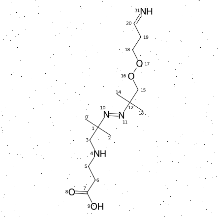 CC(C)(CNCCC(=O)O)N=NC(C)(C)COOCCC=N